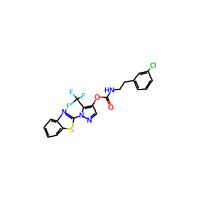 O=C(NCCc1cccc(Cl)c1)Oc1cnn(-c2nc3ccccc3s2)c1C(F)(F)F